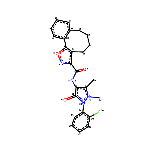 Cc1c(NC(=O)c2noc3c2CCCCc2ccccc2-3)c(=O)n(-c2ccccc2F)n1C